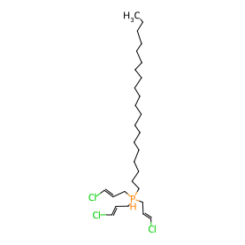 CCCCCCCCCCCCCCCCCCCC[PH](CC=CCl)(CC=CCl)CC=CCl